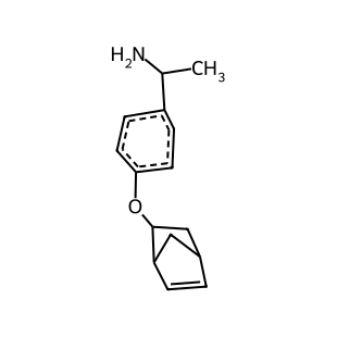 CC(N)c1ccc(OC2CC3C=CC2C3)cc1